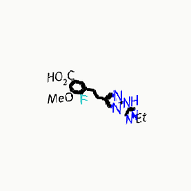 CCn1cc(Nc2ncc(CCc3cc(C(=O)O)cc(OC)c3F)cn2)cn1